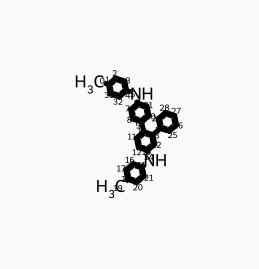 Cc1ccc(Nc2ccc(-c3ccc(Nc4ccc(C)cc4)cc3-c3ccccc3)cc2)cc1